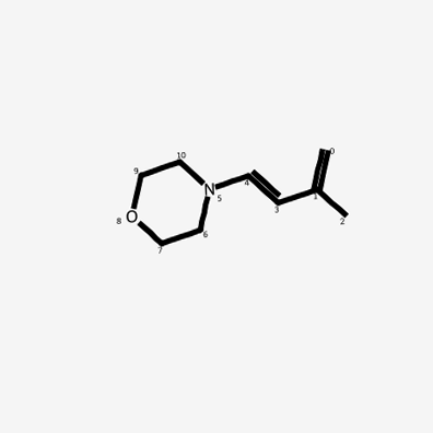 C=C(C)/C=C/N1CCOCC1